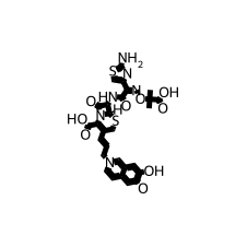 CC(C)(O/N=C(\C(=O)NC1C(=O)N2C(C(=O)O)=C(/C=C/Cn3ccc4cc(=O)c(O)cc-4c3)CS[C@H]12)c1csc(N)n1)C(=O)O